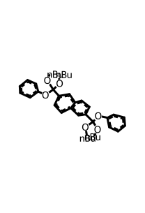 CCCCOC(OCCCC)(Oc1ccccc1)c1ccc2cc(C(OCCCC)(OCCCC)Oc3ccccc3)ccc2c1